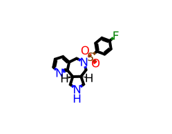 O=S(=O)(c1ccc(F)cc1)N1Cc2cccnc2[C@H]2CNC[C@@H]2C1